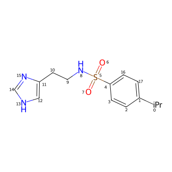 CC(C)c1ccc(S(=O)(=O)NCCc2c[nH]cn2)cc1